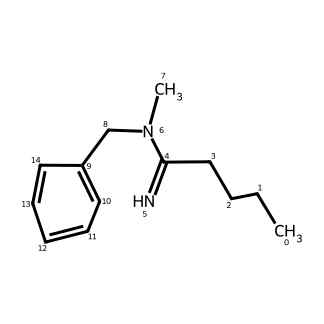 CCCCC(=N)N(C)Cc1ccccc1